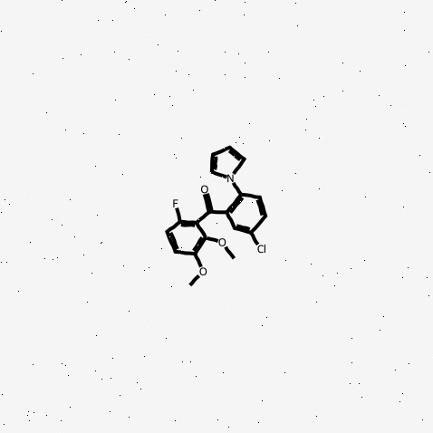 COc1ccc(F)c(C(=O)c2cc(Cl)ccc2-n2cccc2)c1OC